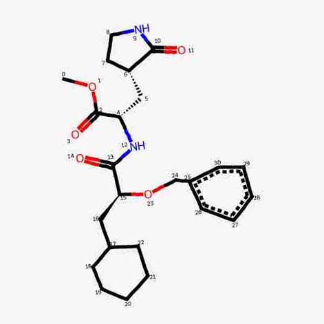 COC(=O)[C@H](C[C@@H]1CCNC1=O)NC(=O)[C@H](CC1CCCCC1)OCc1ccccc1